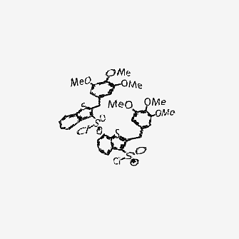 COc1cc(Cc2sc3ccccc3c2S(=O)(=O)Cl)cc(OC)c1OC.COc1cc(Cc2sc3ccccc3c2S(=O)(=O)Cl)cc(OC)c1OC